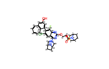 O=S1(=O)CC2CCC(C1)N2CCCOc1nc(N2CC3CCC(C2)N3)c2cc(Cl)c(-c3cc(O)cc4c3CC=CC=C4)c(F)c2n1